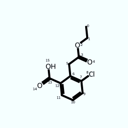 CCOC(=O)Cc1c(Cl)cccc1C(=O)O